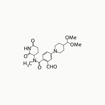 COC(OC)C1CCN(c2ccc(C(=O)N(C)C3CCC(=O)NC3=O)c(C=O)c2)CC1